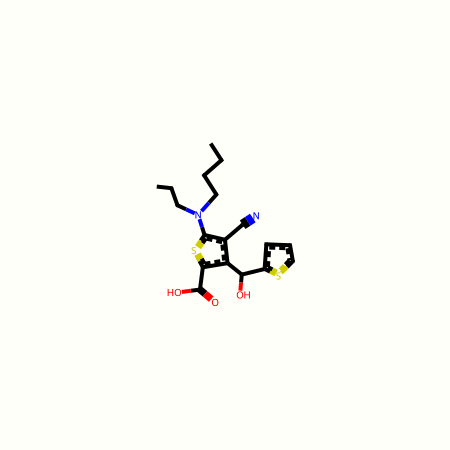 CCCCN(CCC)c1sc(C(=O)O)c(C(O)c2cccs2)c1C#N